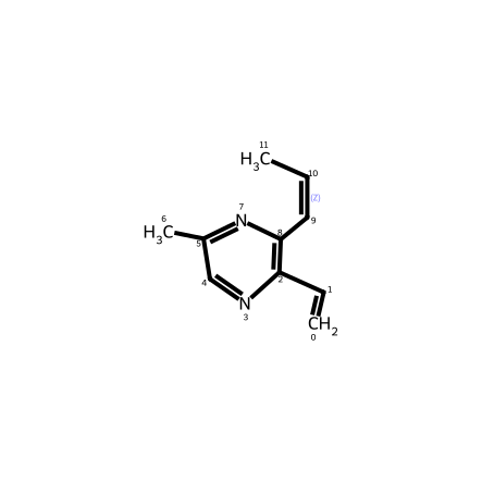 C=Cc1ncc(C)nc1/C=C\C